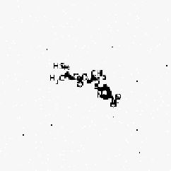 CC(COC(=O)OCC(C)SSc1ccc([N+](=O)[O-])cn1)SS